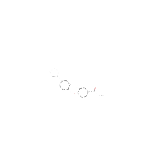 COC(=O)c1ccc(Oc2ccc(C3CCCC3)cc2)c(F)c1